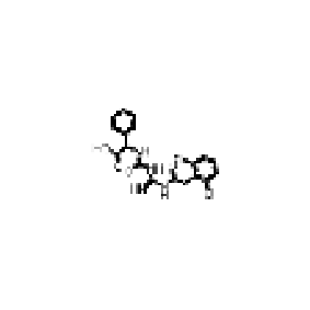 N=C(NC(=O)Cc1c(Cl)cccc1Cl)NC(=O)NC(C(=O)O)c1ccccc1